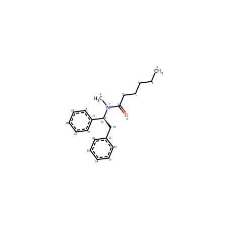 CCCCCC(=O)N(C)[C@@H](Cc1ccccc1)c1ccccc1